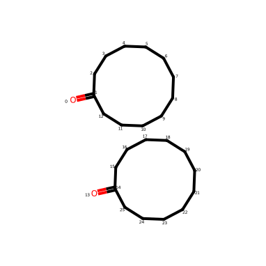 O=C1CCCCCCCCCCC1.O=C1CCCCCCCCCCC1